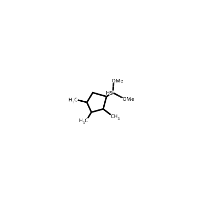 CO[SiH](OC)C1CC(C)C(C)C1C